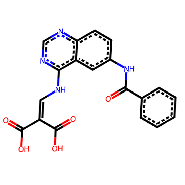 O=C(O)C(=CNc1ncnc2ccc(NC(=O)c3ccccc3)cc12)C(=O)O